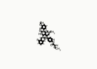 CONC(=O)Nc1ccc(N/C(CN(C)C)=C(\C(=N)N(C)Cc2c(F)cccc2F)C(=O)N(C=O)c2cccc(OC)c2F)cc1